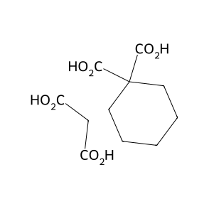 O=C(O)C1(C(=O)O)CCCCC1.O=C(O)CC(=O)O